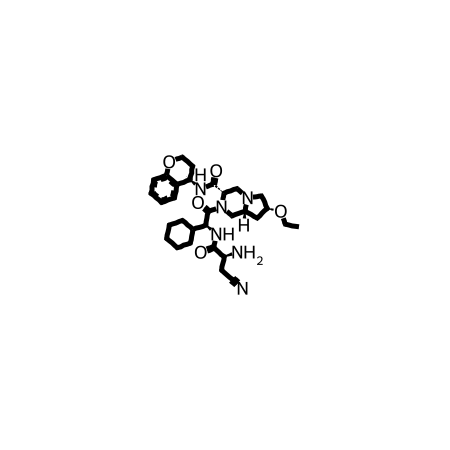 CCO[C@@H]1C[C@@H]2CN(C(=O)[C@@H](NC(=O)[C@@H](N)CC#N)C3CCCCC3)[C@H](C(=O)N[C@@H]3CCOc4ccccc43)CN2C1